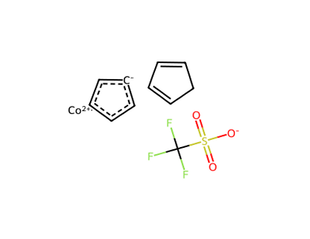 C1=CCC=C1.O=S(=O)([O-])C(F)(F)F.[Co+2].c1cc[cH-]c1